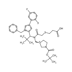 CC(C)(C)OC(=O)N1CC[C@H](CN(C(=O)CSCCC(=O)O)C(c2cc(-c3cc(F)ccc3F)cn2Cc2ccccc2)C(C)(C)C)C1